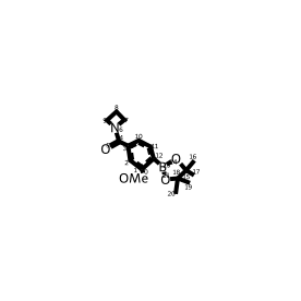 COc1cc(C(=O)N2CCC2)ccc1B1OC(C)(C)C(C)(C)O1